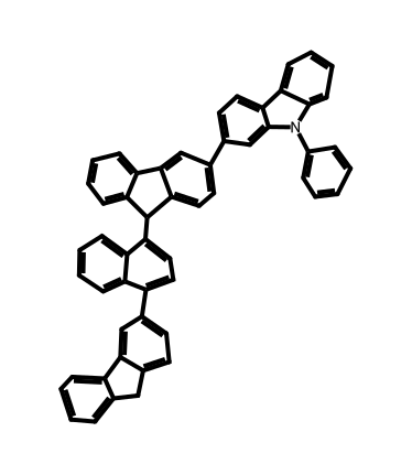 c1ccc(-n2c3ccccc3c3ccc(-c4ccc5c(c4)-c4ccccc4C5c4ccc(-c5ccc6c(c5)-c5ccccc5C6)c5ccccc45)cc32)cc1